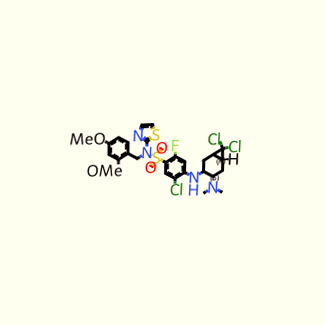 COc1ccc(CN(c2nccs2)S(=O)(=O)c2cc(Cl)c(NC3CC4[C@@H](C[C@@H]3N(C)C)C4(Cl)Cl)cc2F)c(OC)c1